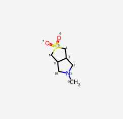 CN1CC2CS(=O)(=O)CC2C1